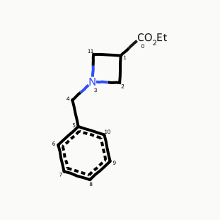 CCOC(=O)C1CN(Cc2ccccc2)C1